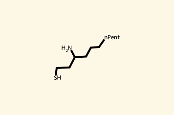 CCCCCCCCC(N)CCS